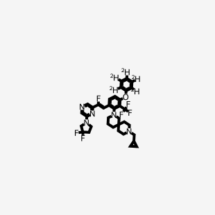 [2H]c1c([2H])c([2H])c(Oc2ccc(/C=C(\F)c3cncc(N4CCC(F)(F)C4)n3)c(N3CCCC4(CCN(CC5CC5)CC4)C3)c2C(F)(F)F)c([2H])c1[2H]